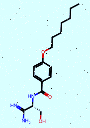 CCCCCCCOc1ccc(C(=O)N[C@H](CO)C(=N)N)cc1